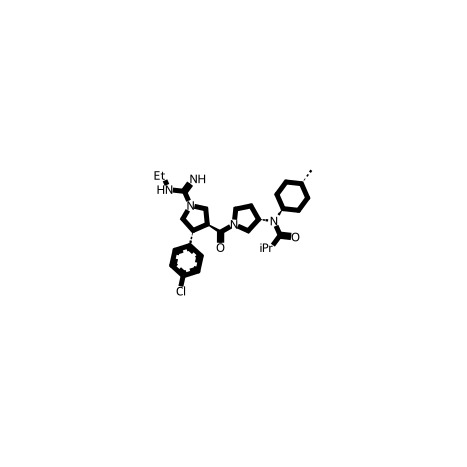 CCNC(=N)N1C[C@@H](C(=O)N2CC[C@H](N(C(=O)C(C)C)[C@H]3CC[C@@H](C)CC3)C2)[C@H](c2ccc(Cl)cc2)C1